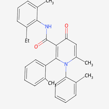 CCc1cccc(C)c1NC(=O)c1c(-c2ccccc2C)n(-c2ccccc2C)c(C)cc1=O